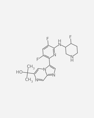 CC(C)(O)c1cn2c(-c3nc(NC4CNCCC4F)c(F)cc3F)cnc2cn1